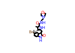 CC(=O)c1c(C=C2C(=O)Nc3ccc(Br)cc32)[nH]c(C(=O)NCCN2CCOCC2)c1C